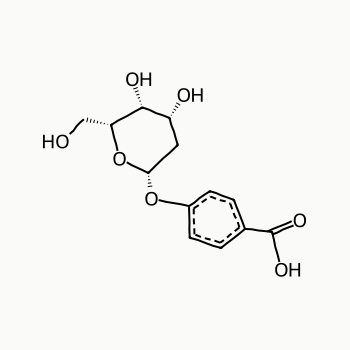 O=C(O)c1ccc(O[C@H]2C[C@@H](O)[C@@H](O)[C@@H](CO)O2)cc1